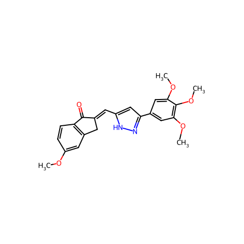 COc1ccc2c(c1)CC(=Cc1cc(-c3cc(OC)c(OC)c(OC)c3)n[nH]1)C2=O